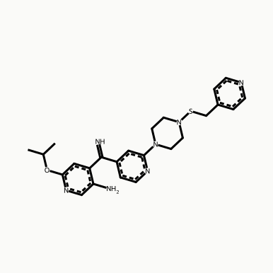 CC(C)Oc1cc(C(=N)c2ccnc(N3CCN(SCc4ccncc4)CC3)c2)c(N)cn1